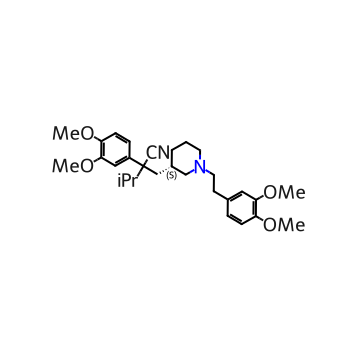 COc1ccc(CCN2CCC[C@@H](CC(C#N)(c3ccc(OC)c(OC)c3)C(C)C)C2)cc1OC